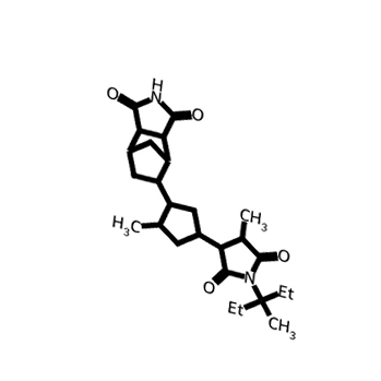 CCC(C)(CC)N1C(=O)C(C)C(C2CC(C)C(C3CC4CC3C3C(=O)NC(=O)C43)C2)C1=O